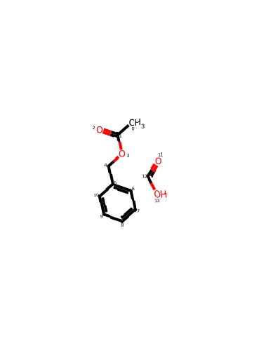 CC(=O)OCc1ccccc1.O=CO